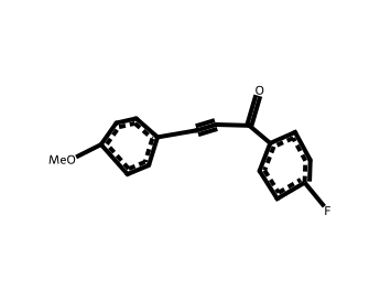 COc1ccc(C#CC(=O)c2ccc(F)cc2)cc1